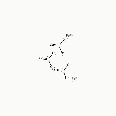 [Fe+3].[Fe+3].[O]=[Ti]([O-])[O-].[O]=[Ti]([O-])[O-].[O]=[Ti]([O-])[O-]